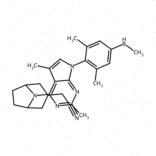 CBc1cc(C)c(-n2cc(C)c3c(N4C5CCC4CC(CC#N)C5)nc(C)nc32)c(C)c1